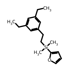 CCc1cc(CC)cc(CC[Si](C)(C)c2ccco2)c1